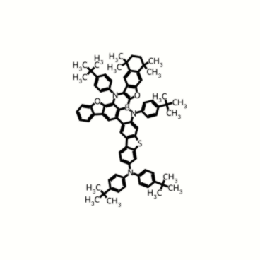 CC(C)(C)c1ccc(N2B3c4oc5cc6c(cc5c4N(c4ccc(C(C)(C)C)cc4)c4c3c(cc3c4oc4ccccc43)-c3cc4c(cc32)sc2cc(N(c3ccc(C(C)(C)C)cc3)c3ccc(C(C)(C)C)cc3)ccc24)C(C)(C)CCC6(C)C)cc1